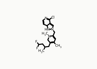 CC1=C(CC(C)CC(F)F)CN(C)C(CN2C=C3C(Cl)=NC=CC3N2)=C1